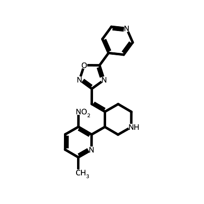 Cc1ccc([N+](=O)[O-])c(C2CNCCC2=Cc2noc(-c3ccncc3)n2)n1